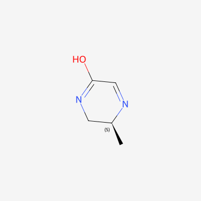 C[C@H]1CN=C(O)C=N1